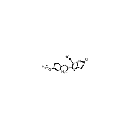 C#Cc1c(N(C)Cc2ccc(OC)cc2)nc2ccc(Cl)nn12